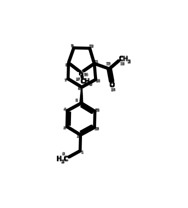 CCc1ccc([C@H]2CC3CCC(C(C)=O)(C2)N3C)cc1